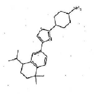 CC(C)C1CCC(C)(C)c2ccc(-c3csc(C4CCC(N)CC4)n3)cc21